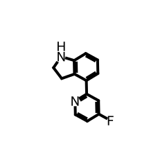 Fc1ccnc(-c2cccc3c2CCN3)c1